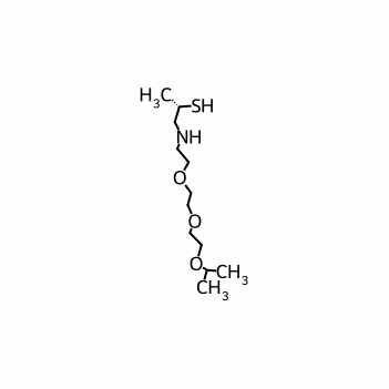 CC(C)OCCOCCOCCNC[C@H](C)S